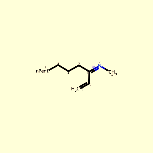 C=C/C(CCCCCCCC)=N\C